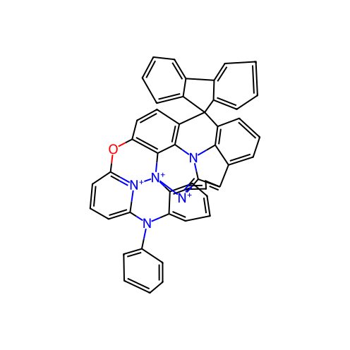 c1ccc(N2c3ccccc3[N+]34c5c(ccc6c5-n5c7c(cccc7c7ccc[n+]3c75)C63c5ccccc5-c5ccccc53)Oc3cccc2[n+]34)cc1